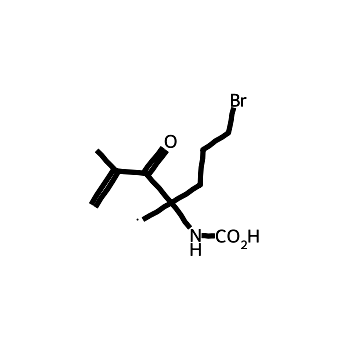 [CH2]C(CCCBr)(NC(=O)O)C(=O)C(=C)C